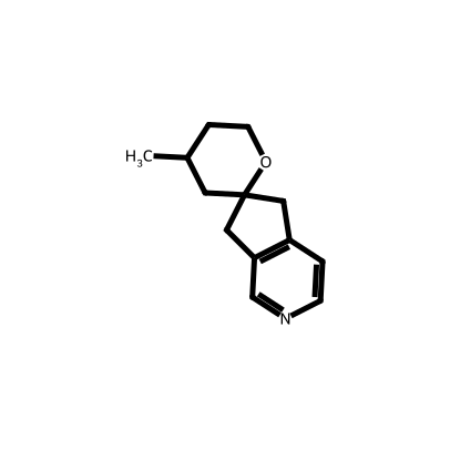 CC1CCOC2(Cc3ccncc3C2)C1